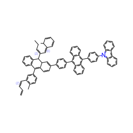 C=C/C=C\c1cc(C2=C3C=CC(c4ccc(-c5c6ccccc6c(-c6ccc(-n7c8ccccc8c8ccccc87)cc6)c6ccccc56)cc4)=CC3C(C(=C/CC)/C=C3/C=CC=CC3C)c3ccccc32)ccc1C